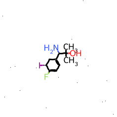 CC(C)(O)[C@H](N)C1=CC=C(F)[C@@H](I)C1